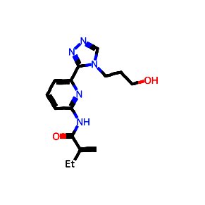 C=C(CC)C(=O)Nc1cccc(-c2nncn2CCCO)n1